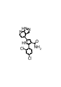 NC(=O)c1cc(-c2ccnc3[nH]ncc23)[nH]c1-c1ccc(Cl)cc1Cl